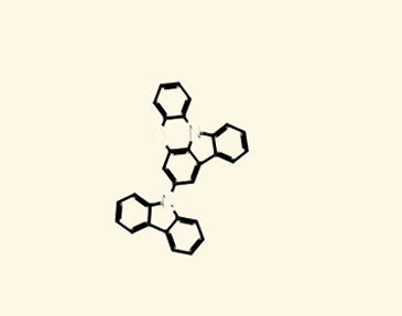 c1ccc2c(c1)Oc1cc(-n3c4ccccc4c4ccccc43)cc3c4ccccc4n-2c13